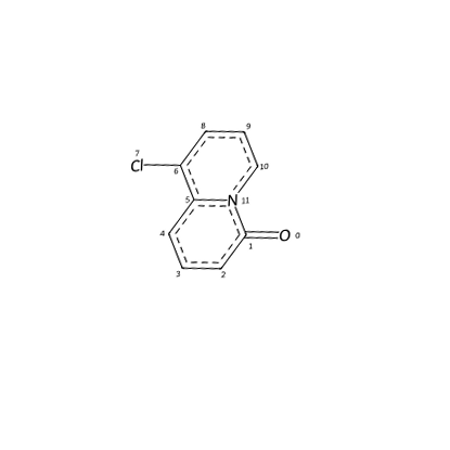 O=c1cccc2c(Cl)cccn12